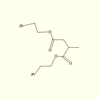 CC(C)CCOC(=O)CC(C)C(=O)OCCC(C)C